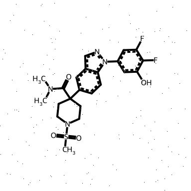 CN(C)C(=O)C1(c2ccc3c(cnn3-c3cc(O)c(F)c(F)c3)c2)CCN(S(C)(=O)=O)CC1